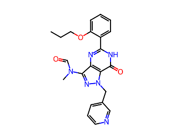 CCCOc1ccccc1-c1nc2c(N(C)C=O)nn(Cc3cccnc3)c2c(=O)[nH]1